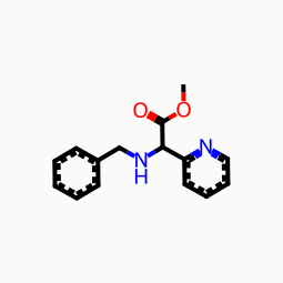 COC(=O)C(NCc1ccccc1)c1ccccn1